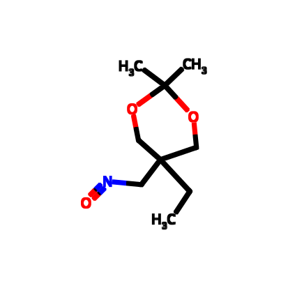 CCC1(CN=O)COC(C)(C)OC1